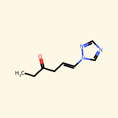 CCC(=O)CC=Cn1cncn1